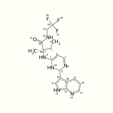 CC[C@@](C)(NC1=CC=NC(c2c[nH]c3ncccc23)N1)C(=O)NCC(F)(F)F